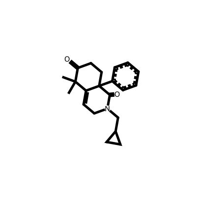 CC1(C)C(=O)CCC2(c3ccccc3)C(=O)N(CC3CC3)CC=C12